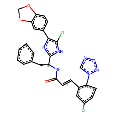 O=C(/C=C/c1cc(Cl)ccc1-n1cnnn1)N[C@@H](Cc1ccccc1)c1nc(-c2ccc3c(c2)OCO3)c(Cl)[nH]1